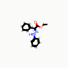 CCOC(=O)/C(=N/Nc1ccccc1)c1ccccc1